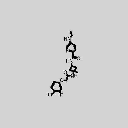 CCNc1ccc(C(=O)NC2CC(C)(NC(=O)COc3ccc(Cl)c(F)c3)C2)nc1